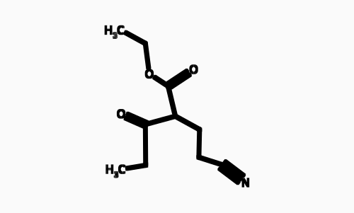 CCOC(=O)C(CCC#N)C(=O)CC